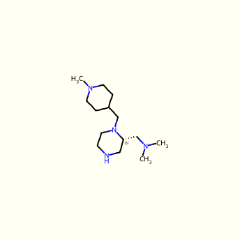 CN(C)C[C@@H]1CNCCN1CC1CCN(C)CC1